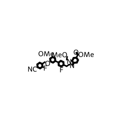 COCCn1c(Cc2ccc(-c3cc(OC)cc(OCc4ccc(C#N)cc4F)c3)cc2F)nc2ccc(C(=O)OC)cc21